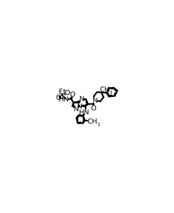 CCS(=O)(=O)NC(=O)c1cnn2c(Nc3ccccc3C)c(C(=O)N3CCC(C)(c4ccccc4)CC3)cnc12